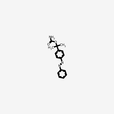 CC(C)(OC(N)=O)c1ccc(N=Nc2ccccc2)cc1